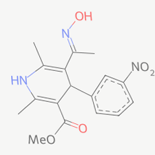 COC(=O)C1=C(C)NC(C)=C(C(C)=NO)C1c1cccc([N+](=O)[O-])c1